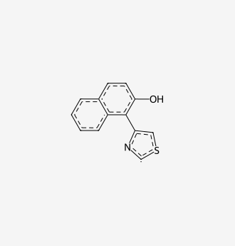 Oc1ccc2ccccc2c1-c1cs[c]n1